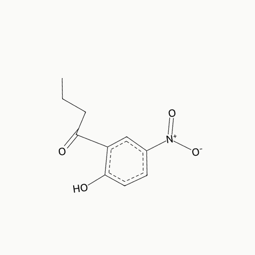 CCCC(=O)c1cc([N+](=O)[O-])ccc1O